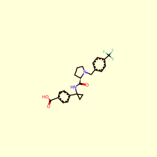 O=C(O)c1ccc(C2(NC(=O)[C@H]3CCCN3Cc3ccc(C(F)(F)F)cc3)CC2)cc1